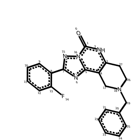 O=c1[nH]c2c(c3nc(-c4ccccc4F)nn13)CN(Cc1ccccc1)CC2